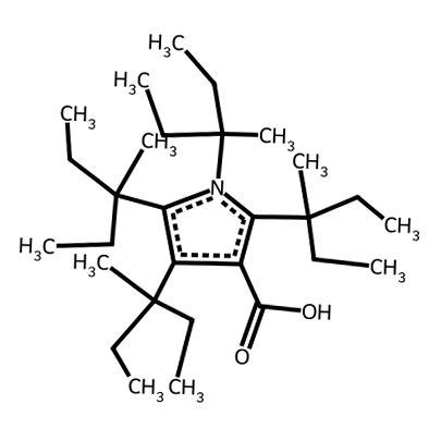 CCC(C)(CC)c1c(C(=O)O)c(C(C)(CC)CC)n(C(C)(CC)CC)c1C(C)(CC)CC